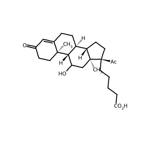 CC(=O)[C@]1(CCCCC(=O)O)CC[C@H]2[C@@H]3CCC4=CC(=O)CC[C@]4(C)[C@H]3C(O)C[C@@]21C